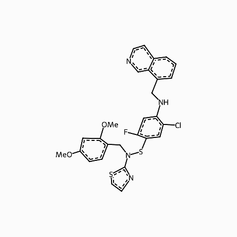 COc1ccc(CN(Sc2cc(Cl)c(NCc3cccc4ccncc34)cc2F)c2nccs2)c(OC)c1